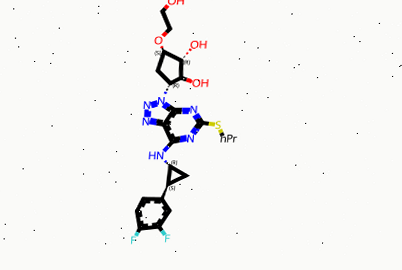 CCCSc1nc(N[C@@H]2C[C@H]2c2ccc(F)c(F)c2)c2nnn([C@@H]3C[C@H](OCCO)[C@H](O)C3O)c2n1